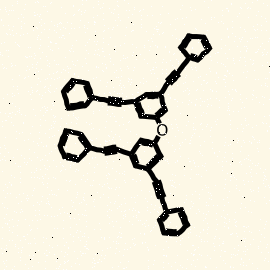 C(#Cc1cc(C#Cc2ccccc2)cc(Oc2cc(C#Cc3ccccc3)cc(C#Cc3ccccc3)c2)c1)c1ccccc1